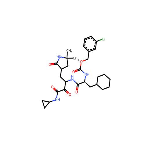 CC1(C)CC(CC(NC(=O)[C@H](CC2CCCCC2)NC(=O)OCc2cccc(Cl)c2)C(=O)C(=O)NC2CC2)C(=O)N1